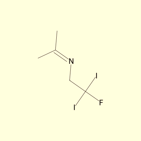 CC(C)=NCC(F)(I)I